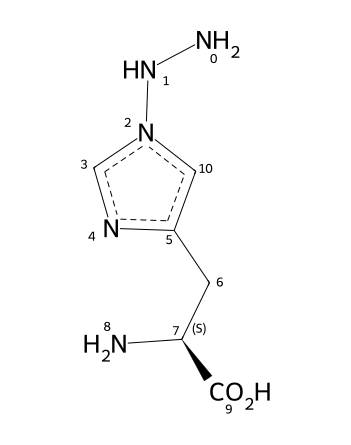 NNn1cnc(C[C@H](N)C(=O)O)c1